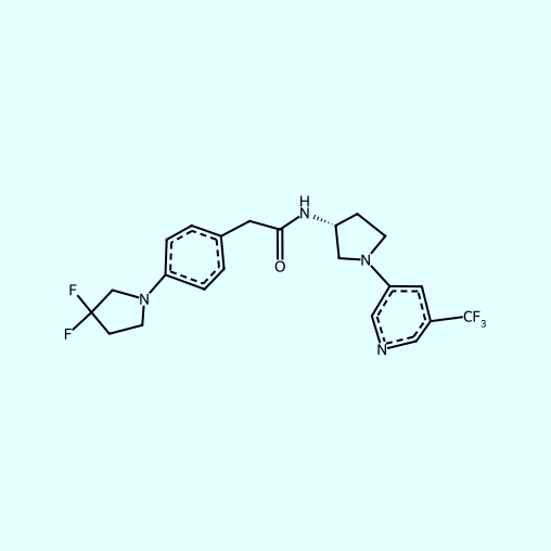 O=C(Cc1ccc(N2CCC(F)(F)C2)cc1)N[C@@H]1CCN(c2cncc(C(F)(F)F)c2)C1